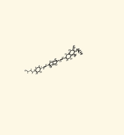 CCCCc1ccc(C#Cc2cc3sc(C#Cc4ccc5c(F)c(N=C=S)c(F)cc5c4)cc3s2)cc1